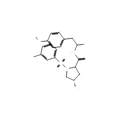 CC(C)(C)Oc1ccc(CC(NC(=O)C2C[C@@H](N)CN2S(=O)(=O)c2cccc(Cl)c2)C(=O)O)cc1